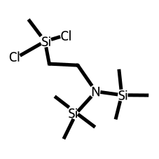 C[Si](Cl)(Cl)CCN([Si](C)(C)C)[Si](C)(C)C